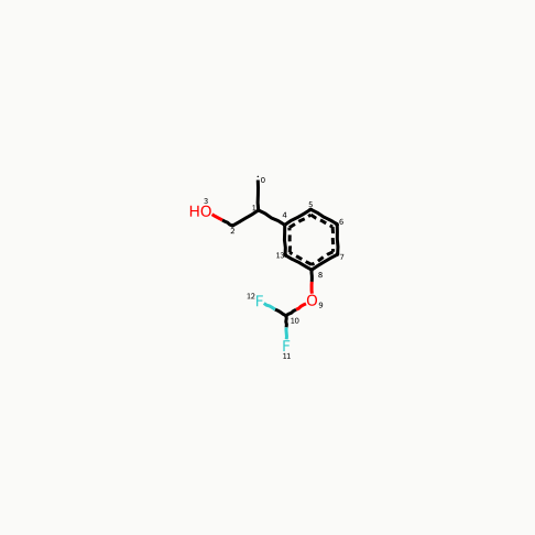 [CH2]C(CO)c1cccc(OC(F)F)c1